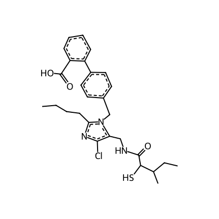 CCCCc1nc(Cl)c(CNC(=O)C(S)C(C)CC)n1Cc1ccc(-c2ccccc2C(=O)O)cc1